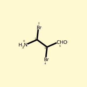 NC(Br)C(Br)[C]=O